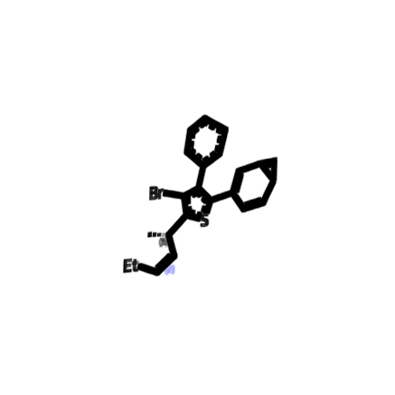 CC/C=C\[C@H](C)c1sc(C2=CC3=CC3C=C2)c(-c2ccccc2)c1Br